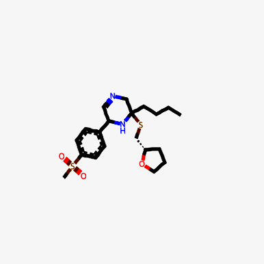 CCCCC1(SC[C@@H]2CCCO2)CN=CC(c2ccc(S(C)(=O)=O)cc2)N1